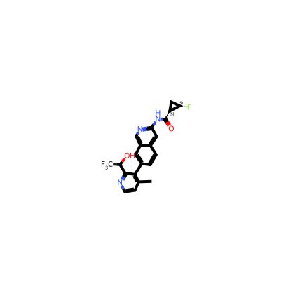 Cc1ccnc(C(O)C(F)(F)F)c1-c1ccc2cc(NC(=O)[C@@H]3C[C@@H]3F)ncc2c1